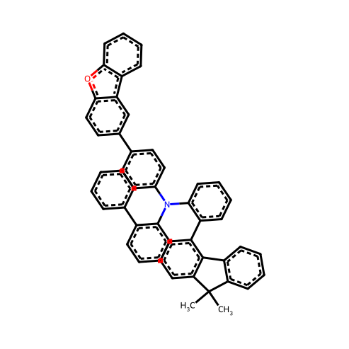 CC1(C)c2ccccc2-c2c(-c3ccccc3N(c3ccc(-c4ccc5oc6ccccc6c5c4)cc3)c3ccccc3-c3ccccc3)cccc21